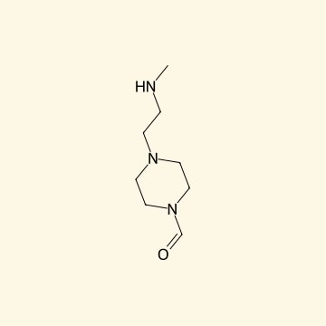 CNCCN1CCN(C=O)CC1